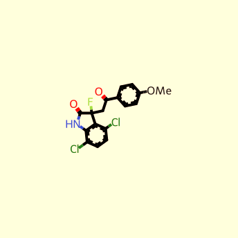 COc1ccc(C(=O)CC2(F)C(=O)Nc3c(Cl)ccc(Cl)c32)cc1